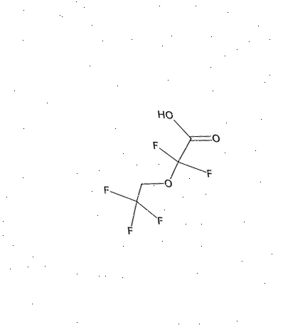 O=C(O)C(F)(F)OCC(F)(F)F